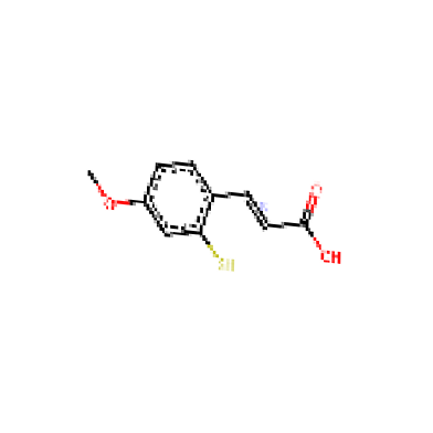 COc1ccc(/C=C/C(=O)O)c(S)c1